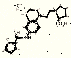 Cl.Cl.N=C(Nc1ccc2c(c1)SCCN2CCN1CCC[C@H]1C(=O)O)c1cccs1